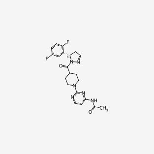 CC(=O)Nc1ccnc(N2CCC(C(=O)N3N=CC[C@H]3c3cc(F)ccc3F)CC2)n1